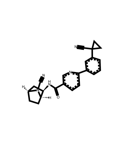 N#CN1[C@H]2CC[C@@H]1[C@H](NC(=O)c1ccc(-c3cccc(C4(C#N)CC4)c3)nc1)C2